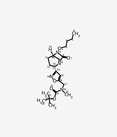 CCCCON1C(=O)N2C[C@@H]1CC[C@H]2c1cc(CN(C)C(=O)OC(C)(C)C)on1